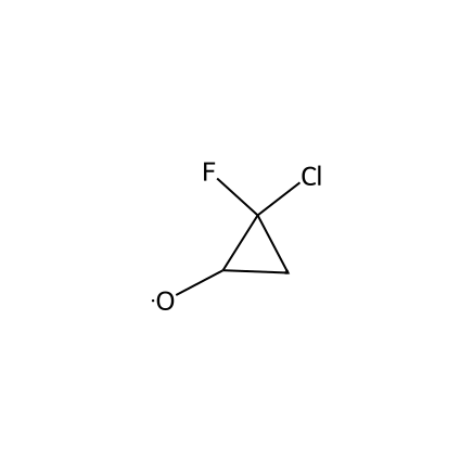 [O]C1CC1(F)Cl